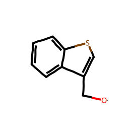 [O]Cc1csc2ccccc12